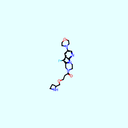 O=C(CCOCC1CCN1)N1CCn2c(c(F)c3cc(N4CCOCC4)cnc32)C1